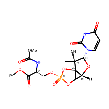 COC(=O)N[C@H](CO[P@@]1(=O)OC2[C@H]3O[C@@H](n4ccc(=O)[nH]c4=O)[C@](C)(C#N)[C@@]23O1)C(=O)OC(C)C